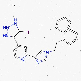 IC1NNNC1c1ccnc(-c2cn(CCc3cccc4ccccc34)cn2)c1